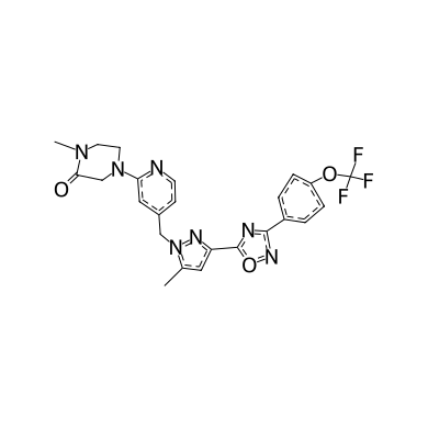 Cc1cc(-c2nc(-c3ccc(OC(F)(F)F)cc3)no2)nn1Cc1ccnc(N2CCN(C)C(=O)C2)c1